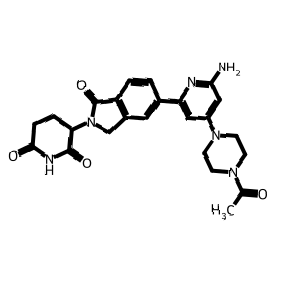 CC(=O)N1CCN(c2cc(N)nc(-c3ccc4c(c3)CN(C3CCC(=O)NC3=O)C4=O)c2)CC1